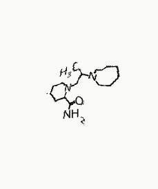 C[C@H](CN1CC[CH]CC1C(N)=O)N1CCCCCC1